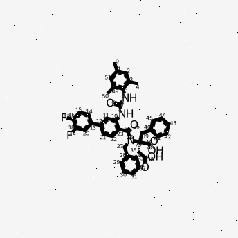 Cc1cc(C)c(NC(=O)Nc2cc(-c3ccc(F)c(F)c3)ccc2C(=O)N(Cc2ccccc2)[C@@](CC(=O)O)(Cc2ccccc2)C(=O)O)c(C)c1